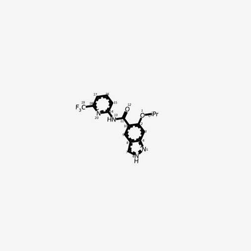 CC(C)Oc1cc2n[nH]cc2cc1C(=O)Nc1cccc(C(F)(F)F)n1